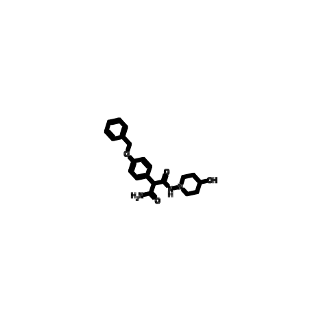 NC(=O)C(C(=O)NN1CCC(O)CC1)c1ccc(OCc2ccccc2)cc1